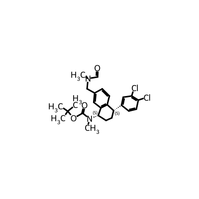 CN(C=O)Cc1ccc2c(c1)[C@@H](N(C)C(=O)OC(C)(C)C)CC[C@H]2c1ccc(Cl)c(Cl)c1